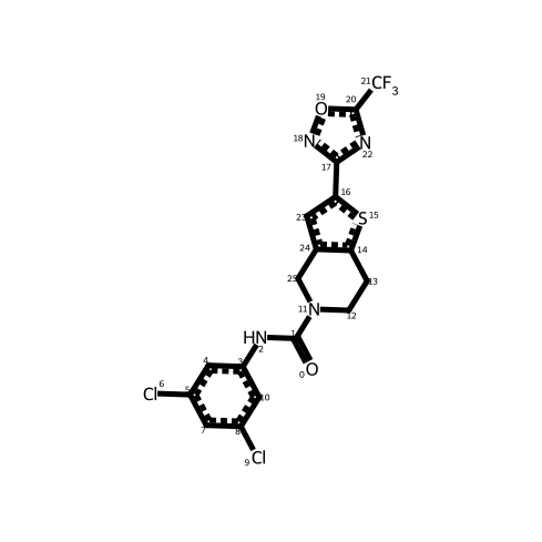 O=C(Nc1cc(Cl)cc(Cl)c1)N1CCc2sc(-c3noc(C(F)(F)F)n3)cc2C1